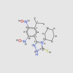 CC(C)c1cc(-c2n[nH]c(=S)n2C2CCCCC2)c(N=O)cc1N=O